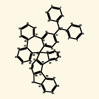 c1ccc(N(c2ccccc2)c2ccc3c(c2)-c2ccccc2-c2ccccc2C32c3ccccc3-c3c2ccc2c3-c3ccccc3C2)cc1